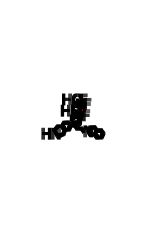 O=C(CCCN1CCc2ccccc2C1)c1ccc2c(c1)CCNCC2.O=C(O)C(F)(F)F.O=C(O)C(F)(F)F